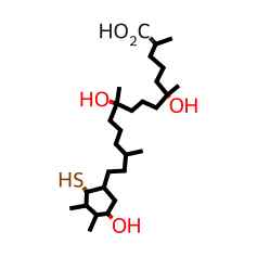 CC(CCCC(C)(O)CCCC(C)(O)CCCC(C)C(=O)O)CCC1CC(O)C(C)C(C)C1S